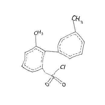 Cc1cccc(-c2c(C)cccc2S(=O)(=O)Cl)c1